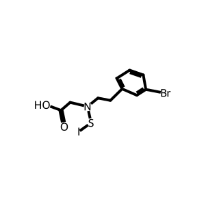 O=C(O)CN(CCc1cccc(Br)c1)SI